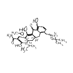 CO[C@@]12CC(C(N)=O)=C(O)[C@@H](N(C)C)[C@@H]1C[C@@H]1Cc3c(CNOC(C)(C)C)ccc(O)c3C(=O)C1=C2O